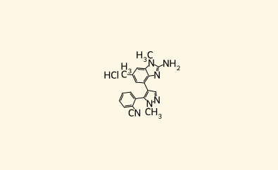 Cc1cc(-c2cnn(C)c2-c2ccccc2C#N)c2nc(N)n(C)c2c1.Cl